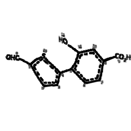 O=Cc1ccc(-c2ccc(C(=O)O)cc2O)s1